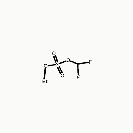 CCOS(=O)(=O)OC(F)F